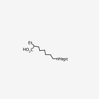 [CH2]CCCCCCCCCCCCC(CC)C(=O)O